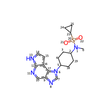 CN(C1CCC(n2cnc3cnc4[nH]ccc4c32)CC1)S(=O)(=O)C1CC1